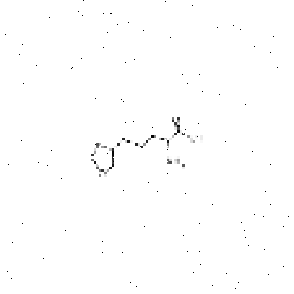 NC(CCCC1CCOC1)C(=O)O